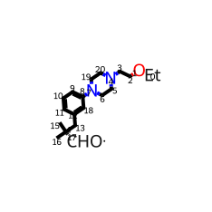 CCOCCN1CCN(c2cccc(CC(C)(C)[C]=O)c2)CC1